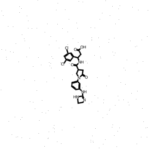 O=C(O)CC(NC(=O)C1CC(=O)N(c2cccc(NC3=NCCN3)c2)C1)c1cc(Cl)cc(Cl)c1